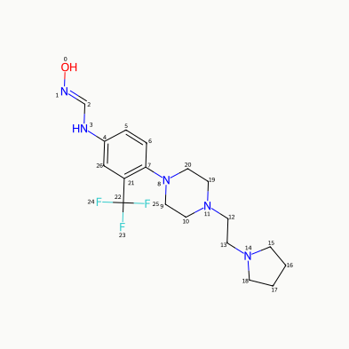 O/N=C/Nc1ccc(N2CCN(CCN3CCCC3)CC2)c(C(F)(F)F)c1